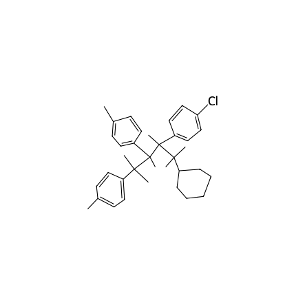 Cc1ccc(C(C)(C)C(C)(c2ccc(C)cc2)C(C)(c2ccc(Cl)cc2)C(C)(C)C2CCCCC2)cc1